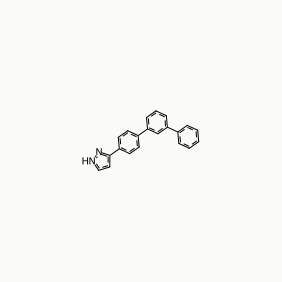 c1ccc(-c2cccc(-c3ccc(-c4cc[nH]n4)cc3)c2)cc1